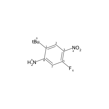 CC(C)(C)c1cc([N+](=O)[O-])c(F)cc1N